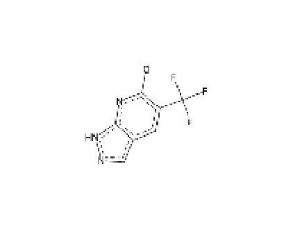 FC(F)(F)c1cc2cn[nH]c2nc1Cl